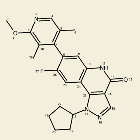 COc1ncc(C)c(-c2cc3[nH]c(=O)c4cnn(C5CCCC5)c4c3cc2F)c1C